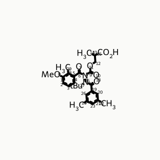 COc1cccc(C(=O)N(C(=O)OCC(C)C(=O)O)N(C(=O)c2cc(C)cc(C)c2)C(C)(C)C)c1C